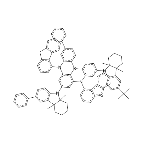 CC(C)(C)c1ccc2c(c1)C1(C)CCCCC1(C)N2c1ccc2c(c1)N(c1cccc3sc4ccccc4c13)c1cc(N3c4ccc(-c5ccccc5)cc4C4(C)CCCCC34C)cc3c1B2c1ccc(-c2ccccc2)cc1N3c1cccc2c1-c1ccccc1C2